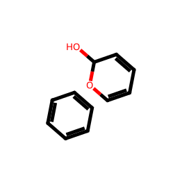 OC1C=CC=CO1.c1ccccc1